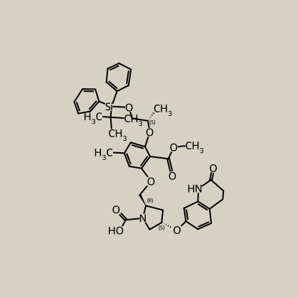 COC(=O)c1c(OC[C@H]2C[C@H](Oc3ccc4c(c3)NC(=O)CC4)CN2C(=O)O)cc(C)cc1O[C@@H](C)CO[Si](c1ccccc1)(c1ccccc1)C(C)(C)C